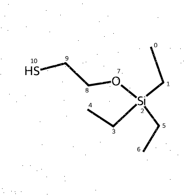 CC[Si](CC)(CC)OCCS